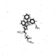 CC(C)(C)OC(=O)C(C)(C)ON=C(C(=O)O)c1csc(NC(c2ccccc2)(c2ccccc2)c2ccccc2)n1.CO